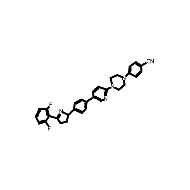 N#Cc1ccc(N2CCN(c3ccc(-c4ccc(C5CCC(c6c(F)cccc6F)=N5)cc4)cn3)CC2)cc1